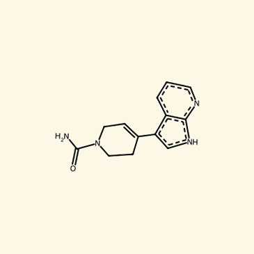 NC(=O)N1CC=C(c2c[nH]c3ncccc23)CC1